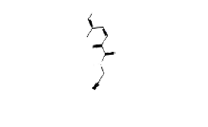 C#CCNC(=O)C(=C)/C=C\C(Cl)=C/C